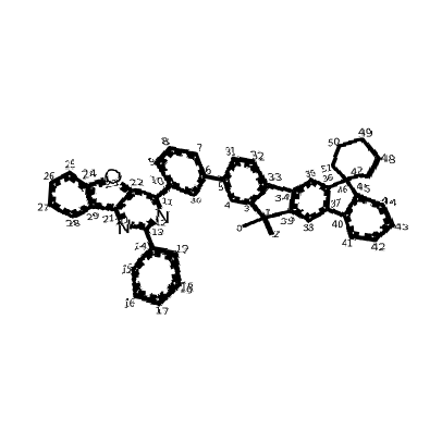 CC1(C)c2cc(-c3cccc(-c4nc(-c5ccccc5)nc5c4oc4ccccc45)c3)ccc2-c2cc3c(cc21)-c1ccccc1C31CCCCC1